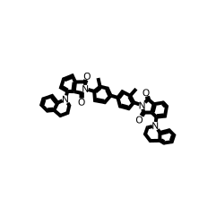 Cc1cc(-c2ccc(N3C(=O)c4cccc(N5CCCc6ccccc65)c4C3=O)c(C)c2)ccc1N1C(=O)c2cccc(N3CCCc4ccccc43)c2C1=O